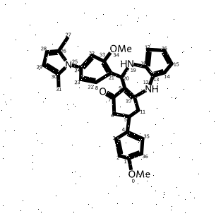 COc1ccc(C2CC(=O)C3=C(C2)Nc2ccccc2NC3c2ccc(-n3c(C)ccc3C)cc2OC)cc1